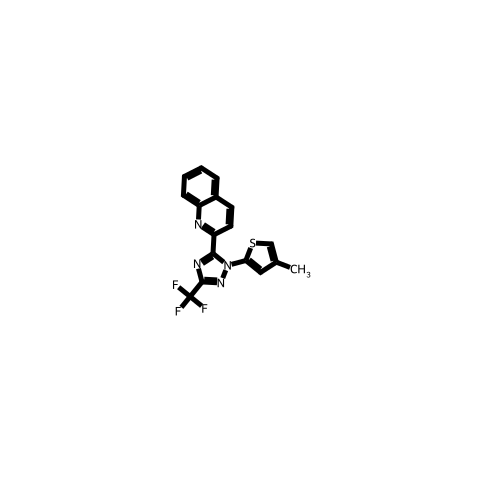 Cc1csc(-n2nc(C(F)(F)F)nc2-c2ccc3ccccc3n2)c1